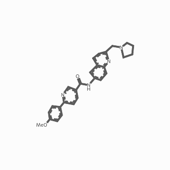 COc1ccc(-c2ccc(C(=O)Nc3ccc4nc(CN5CCCC5)ccc4c3)cn2)cc1